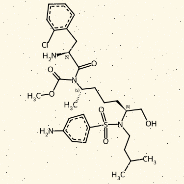 COC(=O)N(C(=O)[C@@H](N)Cc1ccccc1Cl)[C@@H](C)CCC[C@@H](CO)N(CCC(C)C)S(=O)(=O)c1ccc(N)cc1